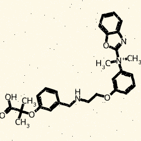 CC(C)(Oc1cccc(CNCCOc2cccc([N+](C)(C)c3nc4ccccc4o3)c2)c1)C(=O)O